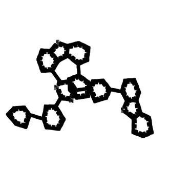 c1ccc(-c2cccc(-c3nc(-c4ccc(-c5cccc6c5sc5ccccc56)cc4)nc(-c4cccc5sc6cccc(-c7ccccc7)c6c45)n3)c2)cc1